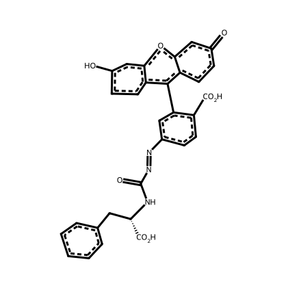 O=C(/N=N/c1ccc(C(=O)O)c(-c2c3ccc(=O)cc-3oc3cc(O)ccc23)c1)N[C@@H](Cc1ccccc1)C(=O)O